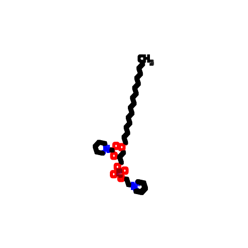 CCCCCCCCCCCCCCCCCCOCC(COP(=O)([O-])OCC[n+]1ccccc1)OC(=O)N1CCCCC1